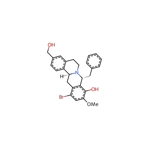 COc1cc(Br)c2c(c1O)[C@@H](Cc1ccccc1)N1CCc3cc(CO)ccc3[C@@H]1C2